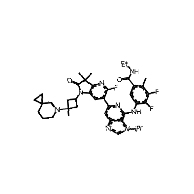 CCNC(=O)c1cc(Nc2nc(-c3cc4c(nc3F)C(C)(C)C(=O)N4C3CC(C)(N4CCCC5(CC5)C4)C3)cc3ncn(C(C)C)c23)c(F)c(F)c1C